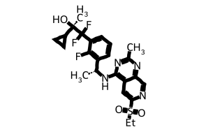 CCS(=O)(=O)c1cc2c(N[C@H](C)c3cccc(C(F)(F)[C@](C)(O)C4CC4)c3F)nc(C)nc2cn1